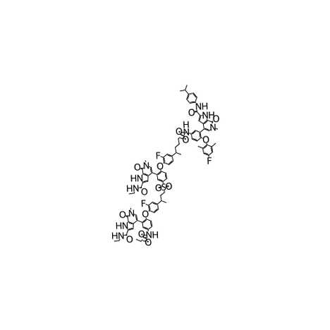 CCNC(=O)c1cc2c(-c3cc(NS(=O)(=O)CC)ccc3Oc3ccc(C(C)CCS(=O)(=O)c4ccc(Oc5ccc(C(C)CCCS(=O)(=O)Nc6ccc(Oc7c(C)cc(F)cc7C)c(-c7cn(C)c(=O)c8[nH]c(C(=O)Nc9ccc(C(C)C)cc9)cc78)c6)cc5F)c(-c5cn(C)c(=O)c6[nH]c(C(=O)NCC)cc56)c4)cc3F)cn(C)c(=O)c2[nH]1